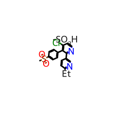 CCc1ccc(-c2nccc(Cl)c2-c2ccc(S(C)(=O)=O)cc2)cn1.CS(=O)(=O)O